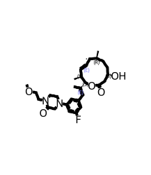 COCCN1CCN(c2cc(F)cc(/C=C(\C)[C@H]3OC(=O)C[C@@H](O)CC[C@H](C)[CH]/C=C/[C@@H]3C)c2)CC1=O